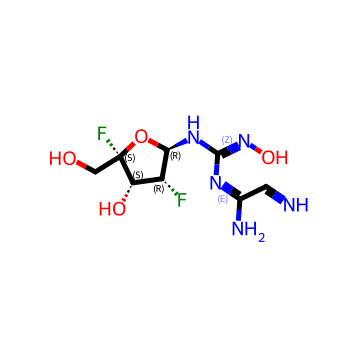 N=C/C(N)=N\C(=N/O)N[C@@H]1O[C@](F)(CO)[C@@H](O)[C@H]1F